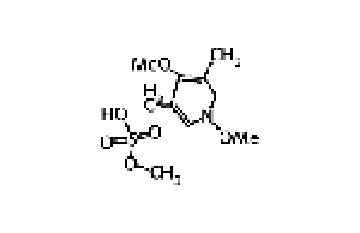 COC1=C(C)CN(OC)C=C1C.COS(=O)(=O)O